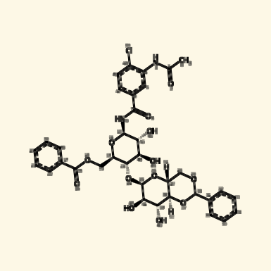 CC(=O)Nc1cc(C(=O)N[C@@H]2O[C@H](COC(=O)c3ccccc3)[C@@H](O[C@H]3O[C@@H]4COC(c5ccccc5)O[C@H]4[C@H](O)[C@H]3O)[C@H](O)[C@H]2O)ccc1Cl